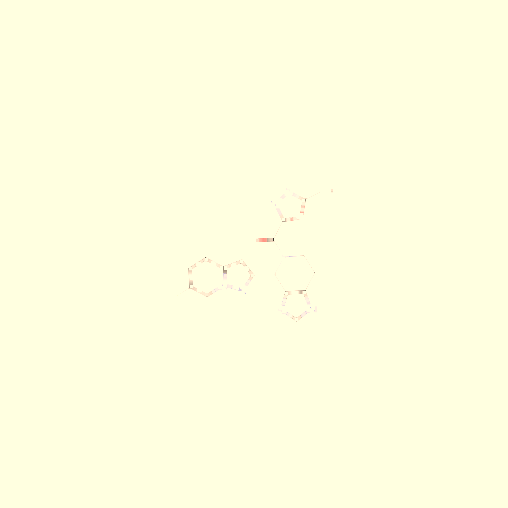 CC(C)(C)c1nnc(C(=O)N2CCc3[nH]cnc3[C@@H]2c2cc3ccc(F)cn3n2)o1